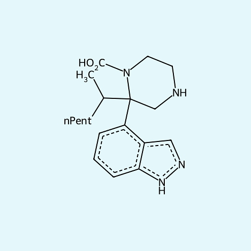 CCCCCC(C)C1(c2cccc3[nH]ncc23)CNCCN1C(=O)O